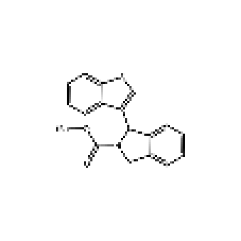 CC(C)(C)OC(=O)N1Cc2ccccc2C1c1csc2ccccc12